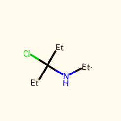 C[CH]NC(Cl)(CC)CC